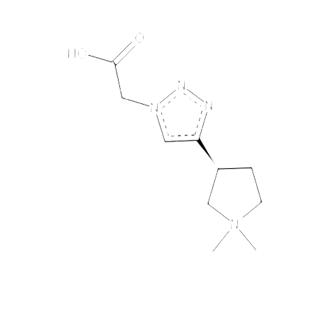 C[N+]1(C)CC[C@H](c2cn(CC(=O)O)nn2)C1